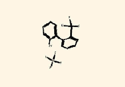 FC(F)(F)c1ccccc1-c1ccccc1[IH+].F[B-](F)(F)F